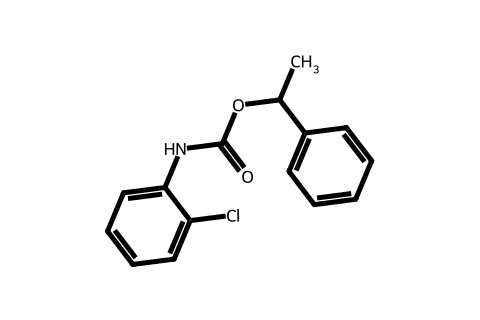 CC(OC(=O)Nc1ccccc1Cl)c1ccccc1